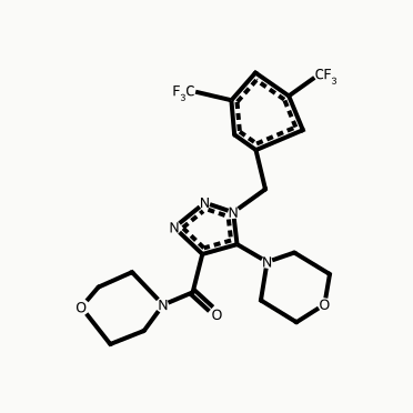 O=C(c1nnn(Cc2cc(C(F)(F)F)cc(C(F)(F)F)c2)c1N1CCOCC1)N1CCOCC1